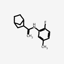 C=C(Nc1cc(C)ccc1F)C1CC2CCC1C2